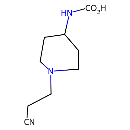 N#CCCN1CCC(NC(=O)O)CC1